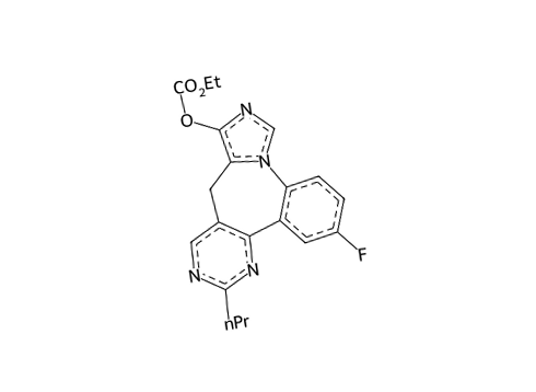 CCCc1ncc2c(n1)-c1cc(F)ccc1-n1cnc(OC(=O)OCC)c1C2